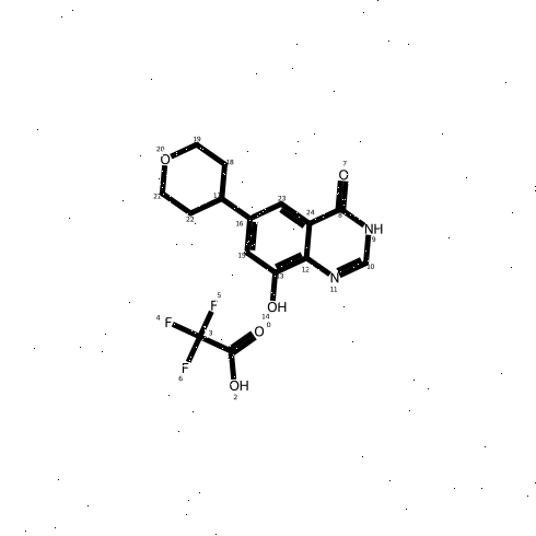 O=C(O)C(F)(F)F.O=c1[nH]cnc2c(O)cc(C3CCOCC3)cc12